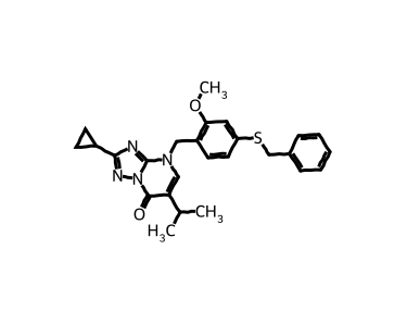 COc1cc(SCc2ccccc2)ccc1Cn1cc(C(C)C)c(=O)n2nc(C3CC3)nc12